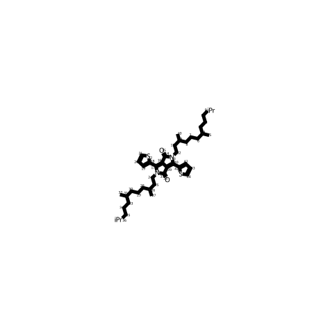 CC(C)CCCC(C)CCCC(C)CCN1C(=O)C2=C(c3cccs3)N(CCC(C)CCCC(C)CCCC(C)C)C(=O)C2=C1c1cccs1